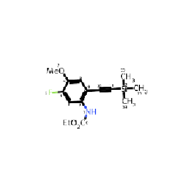 CCOC(=O)Nc1cc(F)c(OC)cc1C#C[Si](C)(C)C